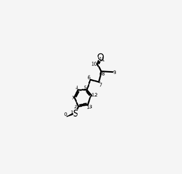 CSc1ccc(CCC(C)C=O)cc1